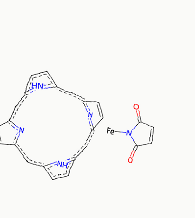 C1=Cc2cc3ccc(cc4nc(cc5ccc(cc1n2)[nH]5)C=C4)[nH]3.O=C1C=CC(=O)[N]1[Fe]